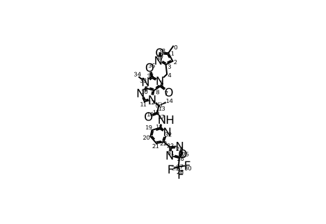 Cc1cc(Cn2c(=O)c3c(ncn3[C@@H](C)C(=O)Nc3cccc(-c4noc(C(F)(F)F)n4)n3)n(C)c2=O)no1